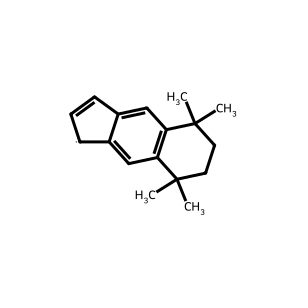 CC1(C)CCC(C)(C)c2cc3c(cc21)[CH]C=C3